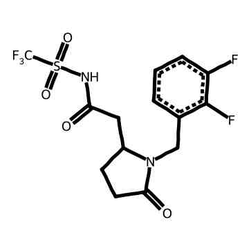 O=C(CC1CCC(=O)N1Cc1cccc(F)c1F)NS(=O)(=O)C(F)(F)F